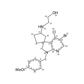 COc1ccc(CN2CC3(CCC(NCCO)C3)c3c2ncc(Br)c3Cl)cc1